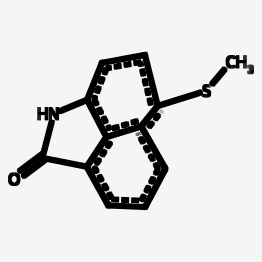 CSc1ccc2c3c(cccc13)C(=O)N2